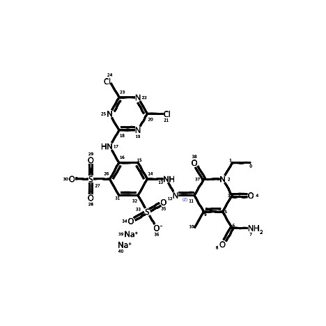 CCN1C(=O)C(C(N)=O)=C(C)/C(=N/Nc2cc(Nc3nc(Cl)nc(Cl)n3)c(S(=O)(=O)[O-])cc2S(=O)(=O)[O-])C1=O.[Na+].[Na+]